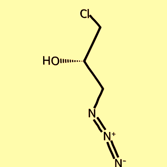 [N-]=[N+]=NC[C@H](O)CCl